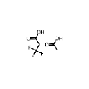 CC(=O)O.O=C(O)CC(F)(F)F